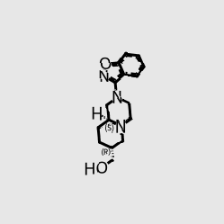 OC[C@@H]1CC[C@H]2CN(c3noc4ccccc34)CCN2C1